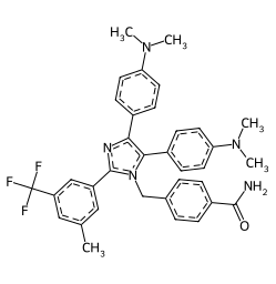 Cc1cc(-c2nc(-c3ccc(N(C)C)cc3)c(-c3ccc(N(C)C)cc3)n2Cc2ccc(C(N)=O)cc2)cc(C(F)(F)F)c1